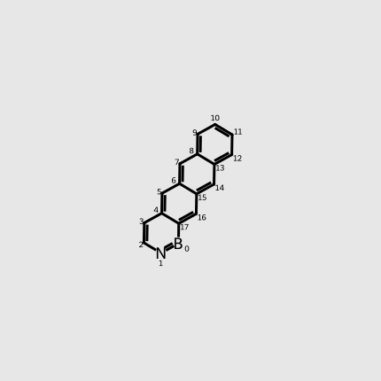 b1nccc2cc3cc4ccccc4cc3cc12